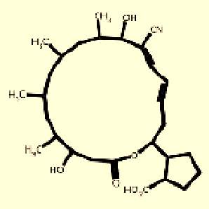 CC1CC(C)CC(C)C(O)/C(C#N)=C/C=C/CC(C2CCCC2C(=O)O)OC(=O)CC(O)C(C)C1